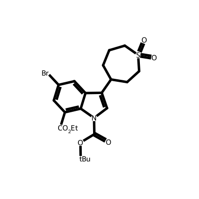 CCOC(=O)c1cc(Br)cc2c(C3CCCS(=O)(=O)CC3)cn(C(=O)OC(C)(C)C)c12